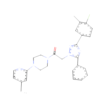 COc1ccnc(N2CCN(C(=O)Cn3nc(-c4ccc(F)c(C)c4)nc3-c3ccccc3)CC2)c1